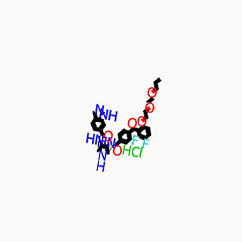 CCCOCCOCCOc1ccc(F)c(F)c1C(=O)c1ccc(C(=O)N[C@@H]2CNC[C@H]2NC(=O)c2ccc3cn[nH]c3c2)cc1.Cl